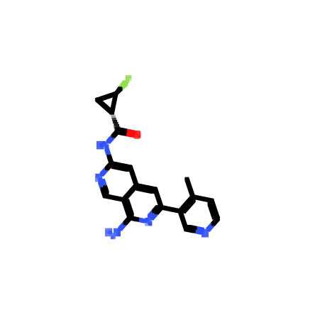 Cc1ccncc1-c1cc2cc(NC(=O)[C@@H]3C[C@H]3F)ncc2c(N)n1